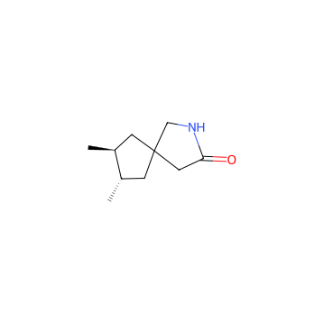 C[C@H]1CC2(CNC(=O)C2)C[C@@H]1C